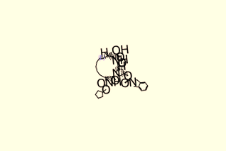 O=C(N[C@H]1CCCCC/C=C/[C@@H]2C[C@@]2(C(=O)O)NC(=O)[C@@H]2C[C@@H](OC(=O)N3Cc4ccccc4C3)CN2C1=O)OC1CCCC1